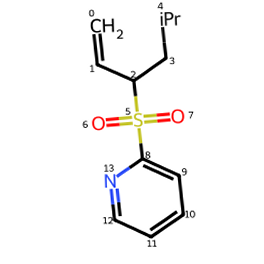 C=CC(CC(C)C)S(=O)(=O)c1ccccn1